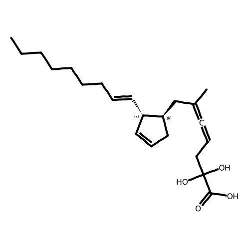 CCCCCCCC=C[C@H]1C=CC[C@@H]1CC(C)=C=CCC(O)(O)C(=O)O